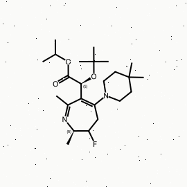 CC1=N[C@H](C)C(F)CC(N2CCC(C)(C)CC2)=C1[C@H](OC(C)(C)C)C(=O)OC(C)C